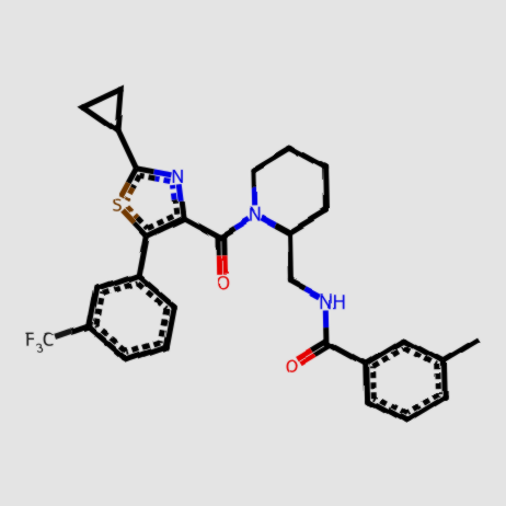 Cc1cccc(C(=O)NCC2CCCCN2C(=O)c2nc(C3CC3)sc2-c2cccc(C(F)(F)F)c2)c1